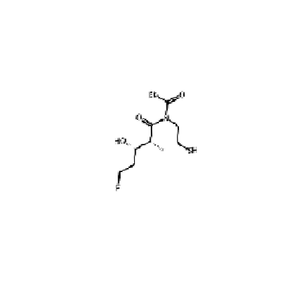 CCC(=O)N(CCS)C(=O)[C@H](C)[C@@H](O)CCF